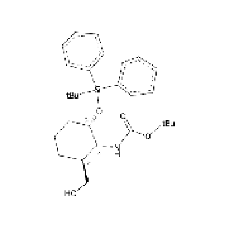 CC(C)(C)OC(=O)N[C@@H]1[C@@H](CO)CCC[C@@H]1O[Si](c1ccccc1)(c1ccccc1)C(C)(C)C